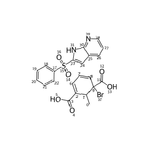 CC1C(C(=O)O)=CC=CC1(Br)C(=O)O.O=S(=O)(c1ccccc1)c1cc2cccnc2[nH]1